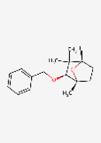 CC1(C)[C@@H]2CC[C@@](C)(O2)[C@H]1OCc1ccccc1